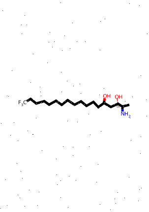 CC(N)[C@@H](O)CC(O)CCCCCCCCCCCCC(F)(F)F